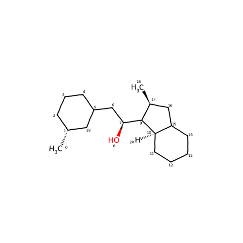 C[C@@H]1CCCC(C[C@H](O)C2[C@@H]3CCCCC3C[C@@H]2C)C1